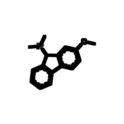 COc1ccc2c(c1)[CH]([Zr]([CH3])[CH3])c1ccccc1-2